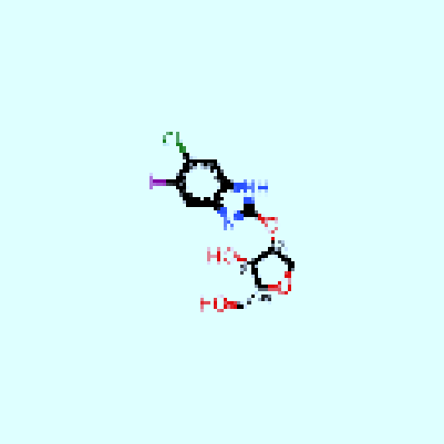 OC[C@H]1OC[C@@H](Oc2nc3cc(I)c(Cl)cc3[nH]2)[C@@H]1O